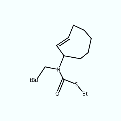 CCSC(=O)N(CC(C)(C)C)C1/C=C/CCCCC1